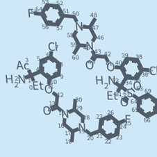 CCC(N)(C(C)=O)c1cc(Cl)ccc1OCC(=O)N1CC(C)N(Cc2ccc(F)cc2)CC1C.CCC(N)(c1cc(Cl)ccc1OCC(=O)N1CC(C)N(Cc2ccc(F)cc2)CC1C)S(=O)(=O)c1ccccc1